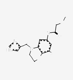 COCC(=O)Nc1cc(F)c2c(c1)N(Cc1c[nH]cn1)CCO2